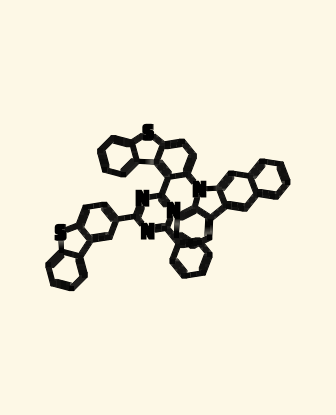 c1ccc(-c2nc(-c3ccc4sc5ccccc5c4c3)nc(-c3c(-n4c5ccccc5c5cc6ccccc6cc54)ccc4sc5ccccc5c34)n2)cc1